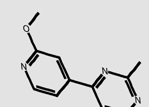 COc1cc(-c2ccnc(C)n2)ccn1